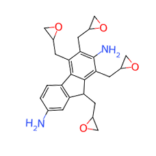 Nc1ccc2c(c1)C(CC1CO1)c1c(CC3CO3)c(N)c(CC3CO3)c(CC3CO3)c1-2